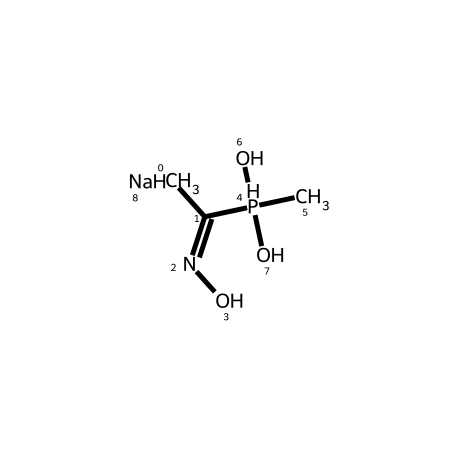 CC(=NO)[PH](C)(O)O.[NaH]